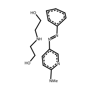 CNc1ccc(N=Nc2ccccc2)cn1.OCCNCCO